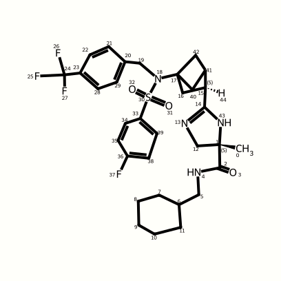 C[C@@]1(C(=O)NCC2CCCCC2)CN=C([C@H]2CC3(N(Cc4ccc(C(F)(F)F)cc4)S(=O)(=O)c4ccc(F)cc4)CC2C3)N1